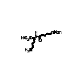 CCCCCCCCCCCCCC(=O)N[C@@H](CCCN)C(=O)O